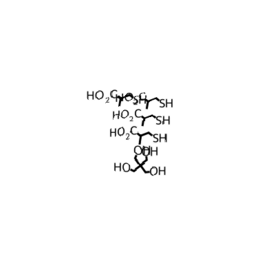 CC(CS)C(=O)O.CC(CS)C(=O)O.CC(CS)C(=O)O.CC(CS)C(=O)O.OCC(CO)(CO)CO